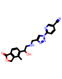 Cc1c(C(O)CNCc2cn(-c3ccc(C#N)cn3)nn2)ccc2c1COC2=O